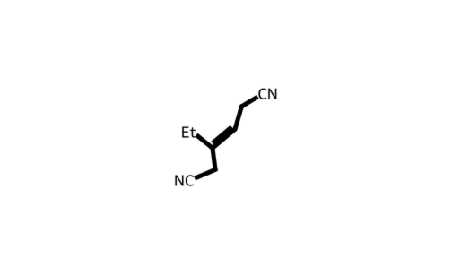 CC/C(=C\CC#N)CC#N